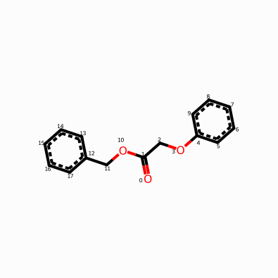 O=C(COc1ccccc1)OCc1ccccc1